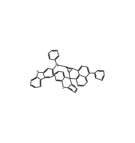 c1ccc(-c2ccc3c4c(cccc24)C2(c4ccccc4Sc4ccccc42)c2cc(N(c4ccccc4)c4ccc5c(c4)sc4ccccc45)ccc2-3)cc1